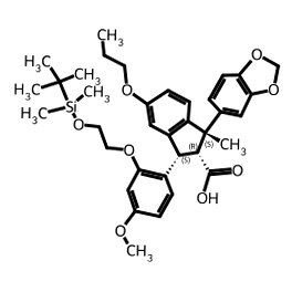 CCCOc1ccc2c(c1)[C@@H](c1ccc(OC)cc1OCCO[Si](C)(C)C(C)(C)C)[C@@H](C(=O)O)[C@@]2(C)c1ccc2c(c1)OCO2